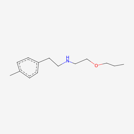 CCCOCCNCCc1ccc(C)cc1